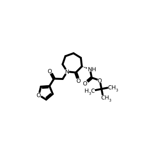 CC(C)(C)OC(=O)N[C@H]1CCCCN(CC(=O)c2ccoc2)C1=O